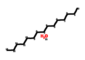 CCCCCCCCCCCCCCC.O